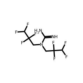 N=C(N)N(CC(F)(F)C(F)F)CC(F)(F)C(F)F